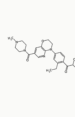 CCc1cc(N2CCOc3cc(C(=O)N4CCN(C)CC4)cnc32)ccc1C(=O)C(C)C